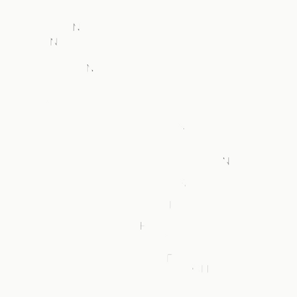 CCC(O)(c1cnc(Sc2ccc3ccc4nncn4c3c2)s1)C(F)(F)F